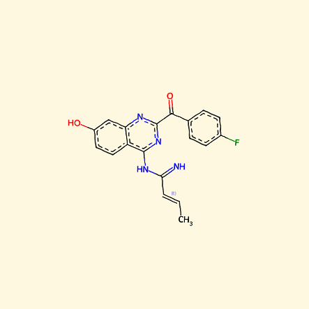 C/C=C/C(=N)Nc1nc(C(=O)c2ccc(F)cc2)nc2cc(O)ccc12